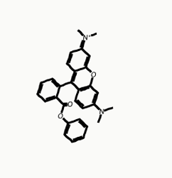 CN(C)c1ccc2c(-c3ccccc3C(=O)Oc3ccccc3)c3ccc(=[N+](C)C)cc-3oc2c1